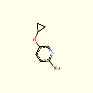 CC(C)(C)c1ccc(OC2CC2)cn1